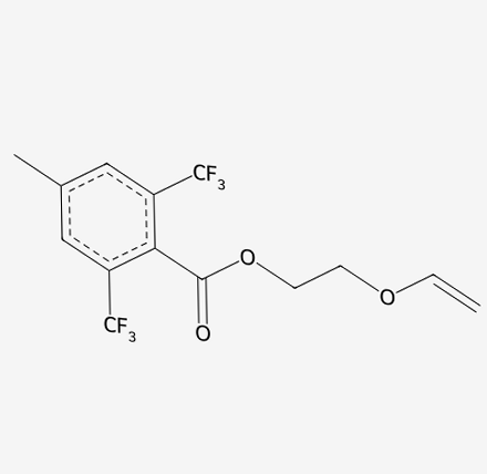 C=COCCOC(=O)c1c(C(F)(F)F)cc(C)cc1C(F)(F)F